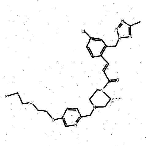 Cc1nnn(Cc2cc(Cl)ccc2/C=C/C(=O)N2CCN(Cc3ccc(OCCOCCF)cn3)C[C@H]2C)n1